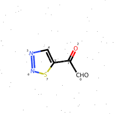 O=CC(=O)c1cnns1